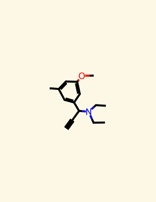 C#CC(c1cc(C)cc(OC)c1)N(CC)CC